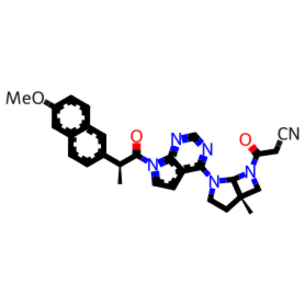 COc1ccc2cc([C@H](C)C(=O)n3ccc4c(N5CC[C@@]6(C)CN(C(=O)CC#N)C56)ncnc43)ccc2c1